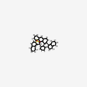 c1ccc(-c2csc3ccc4ccccc4c23)c(-c2c(-c3cccc4ccccc34)ccc3cc4ccccc4cc23)c1